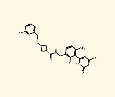 CCc1cc(=O)[nH]c(-c2c(C(F)(F)F)ccc(CNC(=O)[C@H]3C[C@H](OCc4cccc(F)c4)C3)c2F)n1